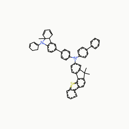 CC1(C)c2cc(N(c3ccc(-c4ccccc4)cc3)c3ccc(-c4ccc5c(c4)C4C=CC=CC4(C)N5C4=CC=CCC4)cc3)ccc2-c2c1ccc1c2sc2ccccc21